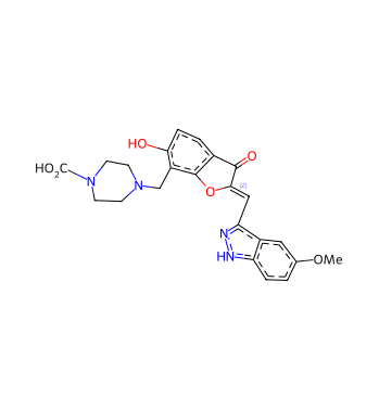 COc1ccc2[nH]nc(/C=C3\Oc4c(ccc(O)c4CN4CCN(C(=O)O)CC4)C3=O)c2c1